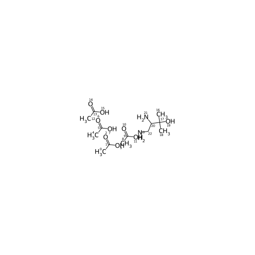 CC(=O)O.CC(=O)O.CC(=O)O.CC(=O)O.CC(C)(O)C(N)CN